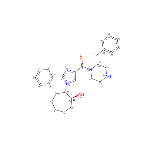 O=C(c1cn([C@H]2CCCCC[C@@H]2O)c(-c2ccccc2)n1)N1CCNC[C@H]1Cc1ccccc1